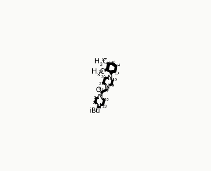 CCC(C)N1CCN(C(=O)CN2CCN(c3cccc(C)c3C)CC2)CC1